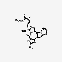 CN(CCOC(=O)OCn1nc(C(F)(F)F)nc1-c1nc2ncccn2c1-c1cnc[nH]1)C(=O)OC(C)(C)C